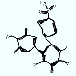 Cc1cc(-c2c(F)c(F)c(F)c(F)c2-c2ccc(S(N)(=O)=O)cc2)cc(C)c1Cl